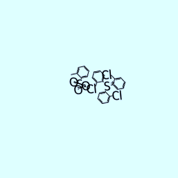 Cc1ccccc1S(=O)(=O)[O-].Clc1ccccc1[S+](c1ccccc1Cl)c1ccccc1Cl